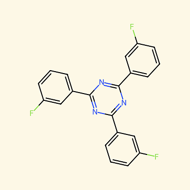 Fc1cccc(-c2nc(-c3cccc(F)c3)nc(-c3cccc(F)c3)n2)c1